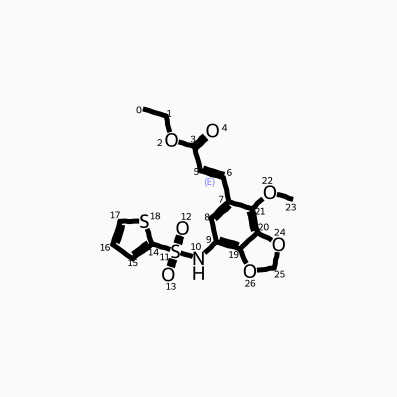 CCOC(=O)/C=C/c1cc(NS(=O)(=O)c2cccs2)c2c(c1OC)OCO2